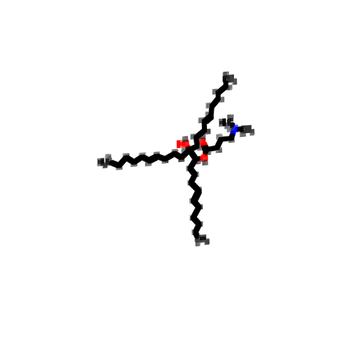 CCCCCC=CCCCC(OC(=O)CCCN(C)C)C(O)(CCCC=CCCCCC)CCCC=CCCCCC